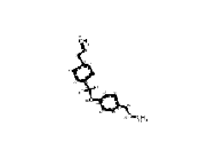 C=CCc1ccc(C(F)(F)Oc2ccc(COC)cc2)cc1